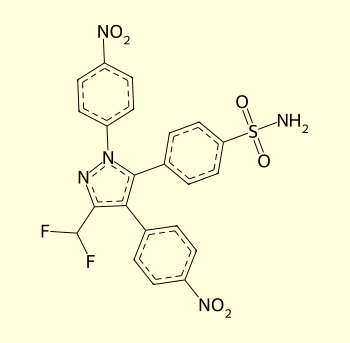 NS(=O)(=O)c1ccc(-c2c(-c3ccc([N+](=O)[O-])cc3)c(C(F)F)nn2-c2ccc([N+](=O)[O-])cc2)cc1